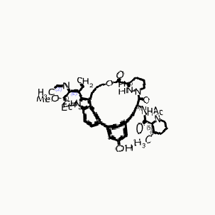 C=C/C(=C(\N=C/C)[C@H](C)OC)c1c2c3cc(ccc3n1CC)-c1cc(O)cc(c1)C[C@H](NC(=O)[C@@H]1[C@@H](C)CCCN1C(C)=O)C(=O)N1CCC[C@H](N1)C(=O)OCCC2